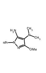 CCCn1nc(OC)c(N(C)C)c1N